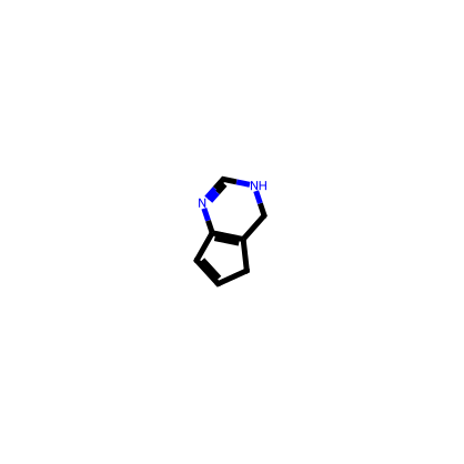 C1=CC2=C(C1)CNC=N2